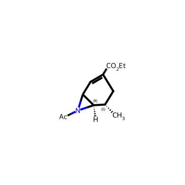 CCOC(=O)C1=CC2[C@@H]([C@@H](C)C1)N2C(C)=O